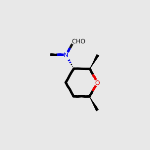 C[C@H]1CC[C@H](N(C)C=O)[C@@H](C)O1